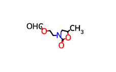 CC1CN(CCOC=O)C(=O)O1